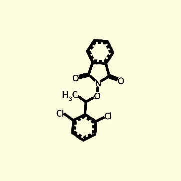 CC(ON1C(=O)c2ccccc2C1=O)c1c(Cl)cccc1Cl